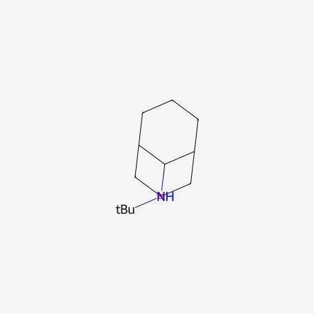 CC(C)(C)NC1C2CCCC1CCC2